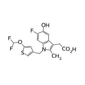 Cc1c(CC(=O)O)c2cc(O)c(F)cc2n1Cc1csc(OC(F)F)c1